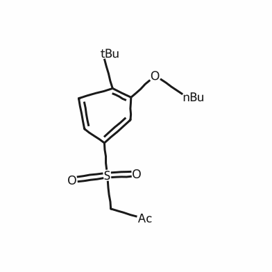 CCCCOc1cc(S(=O)(=O)CC(C)=O)ccc1C(C)(C)C